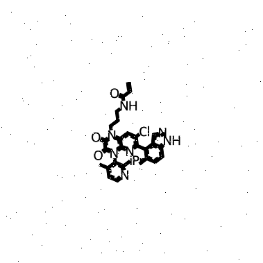 C=CC(=O)NCCCn1c(=O)c(=O)n(-c2c(C)ccnc2C(C)C)c2nc(-c3c(C)ccc4[nH]ncc34)c(Cl)cc21